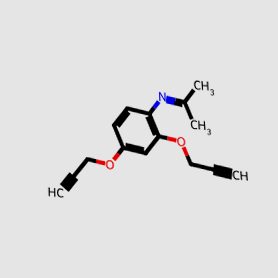 C#CCOc1ccc(N=C(C)C)c(OCC#C)c1